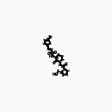 O=C1[C@@H](NS(=O)(=O)/C=C/c2ccc(Br)s2)CCCN1CC(=O)N1CCC[C@@H]1CO